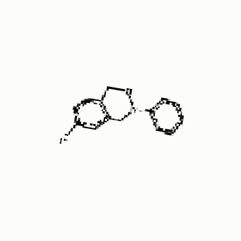 Cc1ccc2c(c1)CN(c1ccccc1)OC2